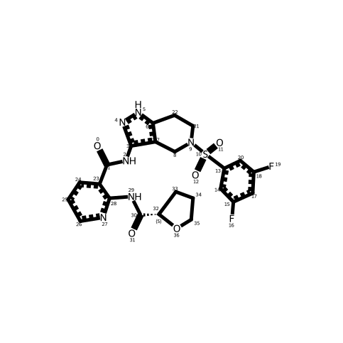 O=C(Nc1n[nH]c2c1CN(S(=O)(=O)c1cc(F)cc(F)c1)CC2)c1cccnc1NC(=O)[C@@H]1CCCO1